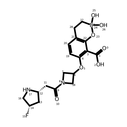 O=C(O)c1c(OC2CN(C(=O)C[C@@H]3C[C@H](F)CN3)C2)ccc2c1O[B-](O)(O)CC2